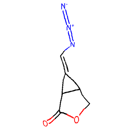 [N-]=[N+]=NC=C1C2COC(=O)C12